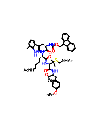 CCCOc1ccc(C[C@H](NC(=O)[C@@H](NC(=O)[C@H](CCCCNC(C)=O)NC(=O)[C@H](Cc2c[nH]c3c(C)cccc23)NC(=O)OCC2c3ccccc3-c3ccccc32)C(C)(C)SCNC(C)=O)C(=O)OC)cc1